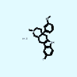 COc1cccc(C23CCN(C)CC2Cc2c([nH]c4ccc(Cl)cc24)C3)c1.Cl